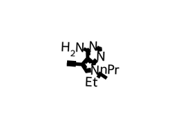 C#Cc1cn(C(C)(CC)CCC)c2ncnc(N)c12